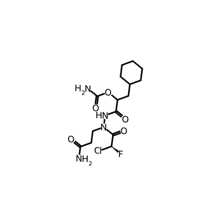 NC(=O)CCN(NC(=O)C(CC1CCCCC1)OC(N)=O)C(=O)[C@@H](F)Cl